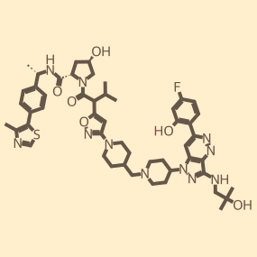 Cc1ncsc1-c1ccc([C@H](C)NC(=O)[C@@H]2C[C@@H](O)CN2C(=O)C(c2cc(N3CCC(CN4CCC(n5nc(NCC(C)(C)O)c6nnc(-c7ccc(F)cc7O)cc65)CC4)CC3)no2)C(C)C)cc1